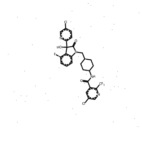 O=C(NC1CCC(CN2C(=O)C(O)(c3ccc(Cl)cn3)c3c(F)cccc32)CC1)c1cc(Cl)cnc1C(F)(F)F